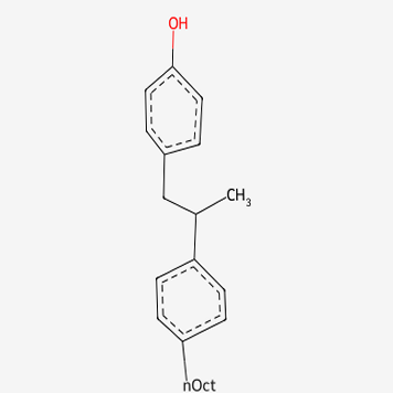 CCCCCCCCc1ccc(C(C)Cc2ccc(O)cc2)cc1